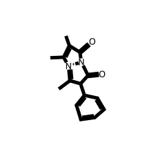 CC1=C(C)[N+]2=C(C)C(c3ccccc3)C(=O)N2C1=O